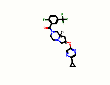 O=C(c1cc(C(F)(F)F)ccc1F)N1CCN2C[C@H](Oc3cnc(C4CC4)cn3)C[C@H]2C1